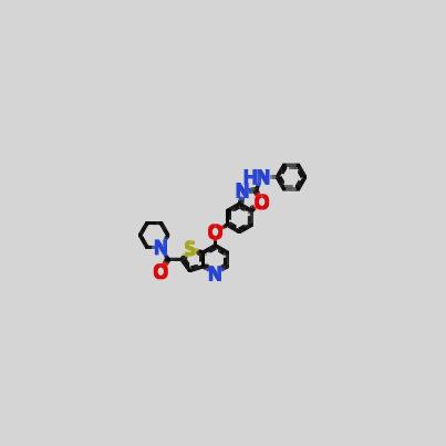 O=C(c1cc2nccc(Oc3ccc4oc(Nc5ccccc5)nc4c3)c2s1)N1CCCCC1